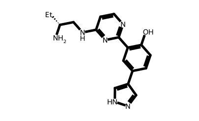 CC[C@@H](N)CNc1ccnc(-c2cc(-c3cn[nH]c3)ccc2O)n1